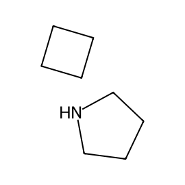 C1CCC1.C1CCNC1